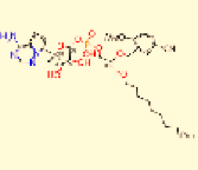 CCCCCCCCCCCCCCCCCCOC[C@H](COP(=O)(O)O[C@H]1O[C@@](C)(c2ccc3c(N)ncnn23)[C@H](O)[C@@H]1O)OCc1cc(C#N)ccc1OC